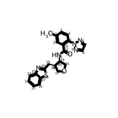 Cc1ccc(-n2nccn2)c(C(=O)N[C@H]2COC[C@H]2Cc2nc3ccccc3s2)c1